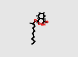 CCCCCCCCC(C)OC(=O)C1CCCCC1C(=O)O